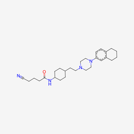 N#CCCCC(=O)NC1CCC(CCN2CCN(c3ccc4c(c3)CCCC4)CC2)CC1